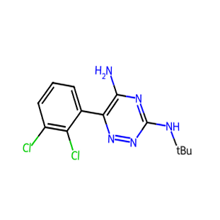 CC(C)(C)Nc1nnc(-c2cccc(Cl)c2Cl)c(N)n1